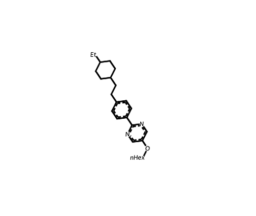 CCCCCCOc1cnc(-c2ccc(CCC3CCC(CC)CC3)cc2)nc1